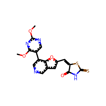 COc1ncc(-c2cncc3cc(C=C4SC(=S)NC4=O)oc23)c(OC)n1